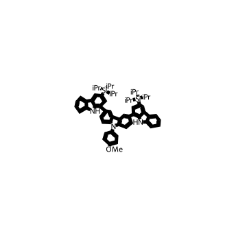 COc1ccc(-n2c3ccc(-c4cc([Si](C(C)C)(C(C)C)C(C)C)cc5c4[nH]c4ccccc45)cc3c3cc(-c4cc([Si](C(C)C)(C(C)C)C(C)C)cc5c4[nH]c4ccccc45)ccc32)cc1